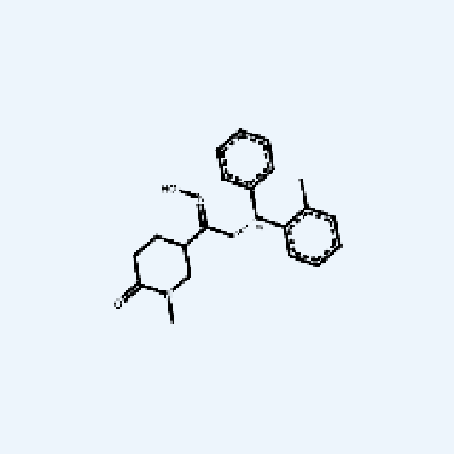 Cc1ccccc1[C@H](CC(=NO)C1CCC(=O)N(C)C1)c1ccccc1